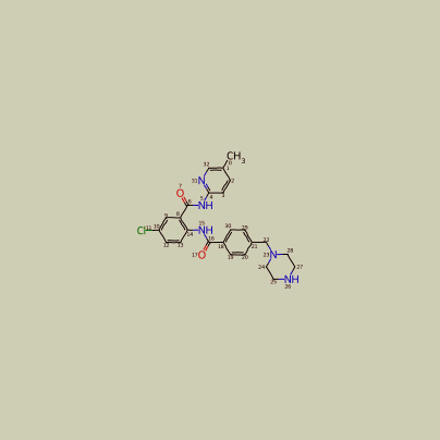 Cc1ccc(NC(=O)c2cc(Cl)ccc2NC(=O)c2ccc(CN3CCNCC3)cc2)nc1